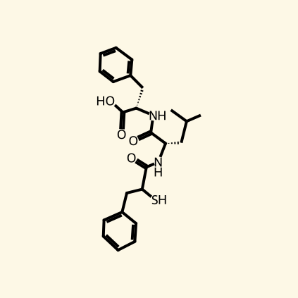 CC(C)C[C@H](NC(=O)C(S)Cc1ccccc1)C(=O)N[C@@H](Cc1ccccc1)C(=O)O